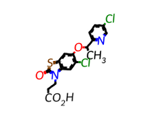 CC(Oc1cc2sc(=O)n(CCC(=O)O)c2cc1Cl)c1ccc(Cl)cn1